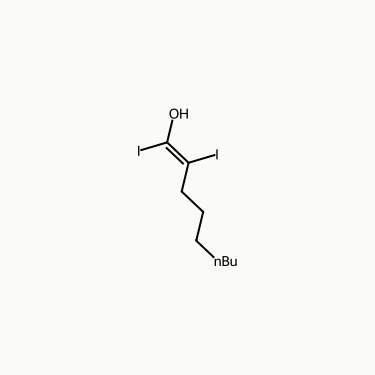 CCCCCCCC(I)=C(O)I